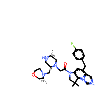 C[C@@H]1CN(CC(=O)N2CC(C)(C)c3c2cc(Cc2ccc(F)cc2)c2cncn32)[C@@H](CN2CCOC[C@H]2C)CN1